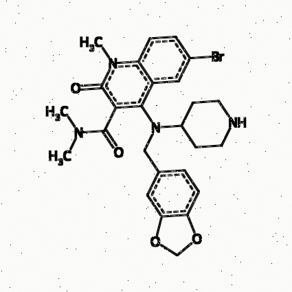 CN(C)C(=O)c1c(N(Cc2ccc3c(c2)OCO3)C2CCNCC2)c2cc(Br)ccc2n(C)c1=O